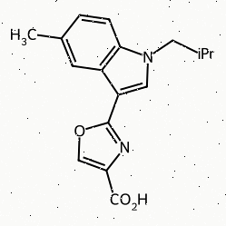 Cc1ccc2c(c1)c(-c1nc(C(=O)O)co1)cn2CC(C)C